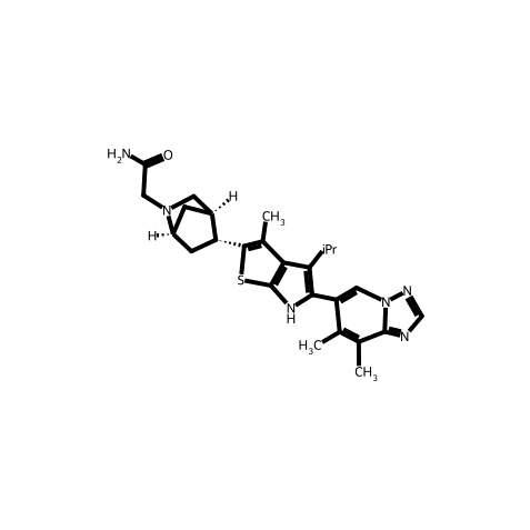 Cc1c(-c2[nH]c3sc([C@@H]4C[C@@H]5C[C@H]4CN5CC(N)=O)c(C)c3c2C(C)C)cn2ncnc2c1C